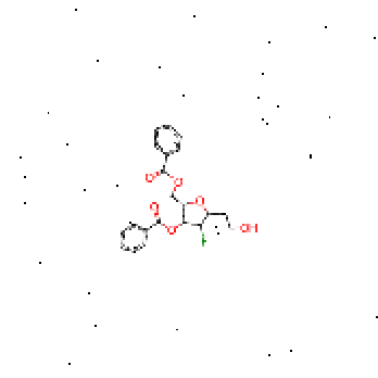 O=C(OC[C@H]1O[C@@H](CCO)C(F)C1OC(=O)c1ccccc1)c1ccccc1